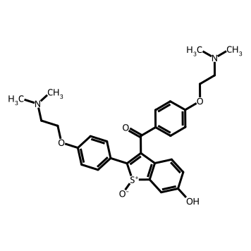 CN(C)CCOc1ccc(C(=O)c2c(-c3ccc(OCCN(C)C)cc3)[s+]([O-])c3cc(O)ccc23)cc1